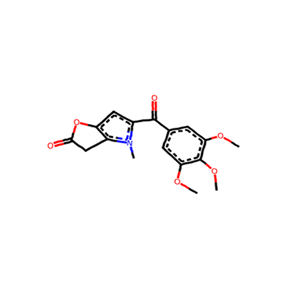 COc1cc(C(=O)c2cc3c(n2C)CC(=O)O3)cc(OC)c1OC